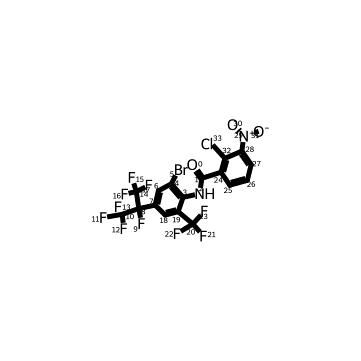 O=C(Nc1c(Br)cc(C(F)(C(F)(F)F)C(F)(F)F)cc1C(F)(F)F)c1cccc([N+](=O)[O-])c1Cl